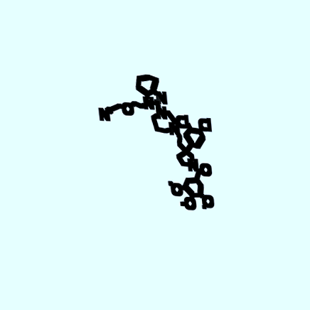 COc1cc(C(=O)N2CCC(CCN3CCCN(c4nc5ccccc5n4CCOCC#N)CC3)(c3ccc(Cl)c(Cl)c3)C2)cc(OC)c1OC